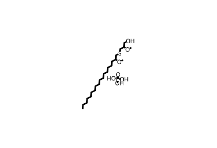 CCCCCCCCCCCCCCCCC(CSCC(CO)OC)OC.O=P(O)(O)O